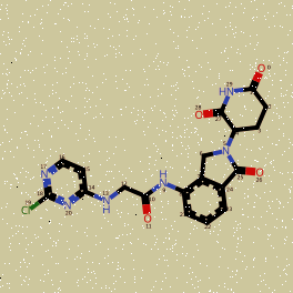 O=C1CCC(N2Cc3c(NC(=O)CNc4ccnc(Cl)n4)cccc3C2=O)C(=O)N1